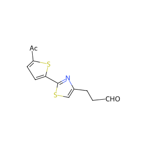 CC(=O)c1ccc(-c2nc(CCC=O)cs2)s1